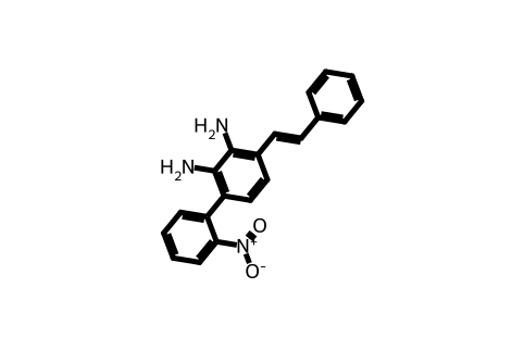 Nc1c(C=Cc2ccccc2)ccc(-c2ccccc2[N+](=O)[O-])c1N